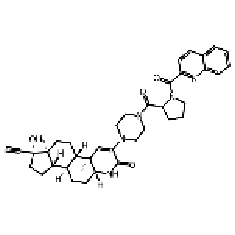 C#C[C@]1(O)CC[C@H]2[C@@H]3CC[C@H]4NC(=O)C(N5CCN(C(=O)[C@@H]6CCCN6C(=O)c6ccc7ccccc7n6)CC5)=C[C@]4(C)[C@H]3CC[C@@]21C